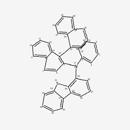 c1ccc(N(c2ccc3ccccc3c2-c2cccc3ccccc23)c2cccc3c2sc2ccccc23)cc1